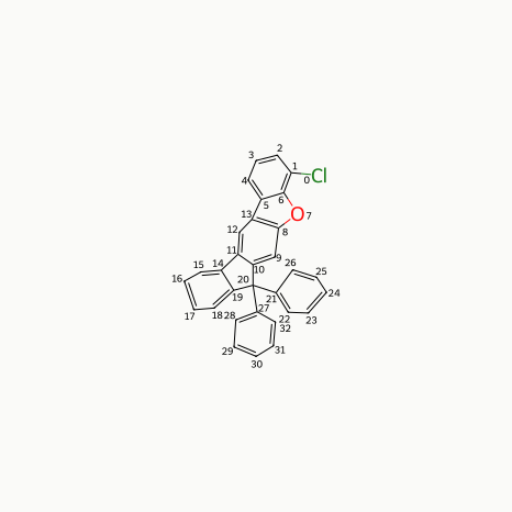 Clc1cccc2c1oc1cc3c(cc12)-c1ccccc1C3(c1ccccc1)c1ccccc1